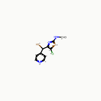 O=CNc1nc(C(S)c2ccncc2)c(Cl)s1